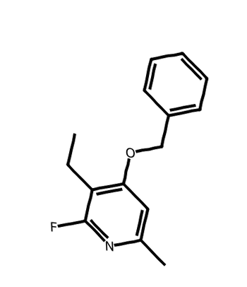 CCc1c(OCc2ccccc2)cc(C)nc1F